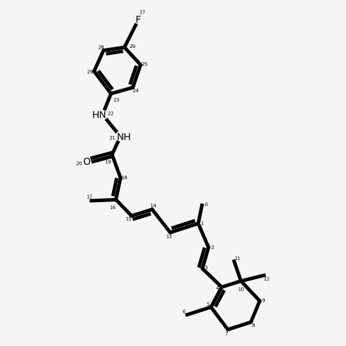 CC(C=CC1=C(C)CCCC1(C)C)=CC=CC(C)=CC(=O)NNc1ccc(F)cc1